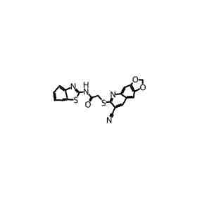 N#Cc1cc2cc3c(cc2nc1SCC(=O)Nc1nc2ccccc2s1)OCO3